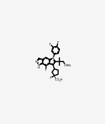 COCC(C)(C)c1c(C2CC[C@@](F)(C(=O)O)C2)c2c(F)c3[nH]ncc3cc2n1-c1ccc(F)c(F)c1